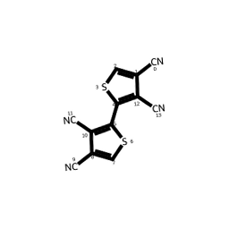 N#Cc1csc(-c2scc(C#N)c2C#N)c1C#N